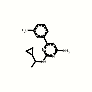 CC(Nc1nc(N)nc(-c2cccc(C(F)(F)F)n2)n1)C1CC1